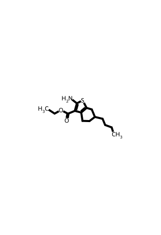 CCCCC1CCc2c(sc(N)c2C(=O)OCC)C1